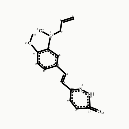 C=CC[S+]([O-])c1cc(C=Cc2ccc(=O)[nH]n2)ccc1OC